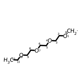 [CH2]OCCOCCOCCOCC